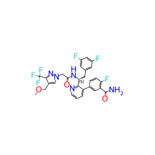 COCc1cn(CC(=O)N[C@@H](Cc2cc(F)cc(F)c2)c2ncccc2-c2ccc(F)c(C(N)=O)c2)nc1C(F)(F)F